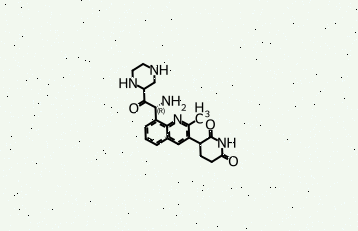 Cc1nc2c([C@@H](N)C(=O)C3CNCCN3)cccc2cc1C1CCC(=O)NC1=O